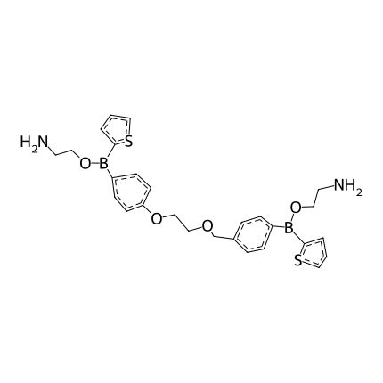 NCCOB(c1ccc(COCCOc2ccc(B(OCCN)c3cccs3)cc2)cc1)c1cccs1